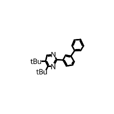 CC(C)(C)c1cnc(-c2cccc(-c3ccccc3)c2)nc1C(C)(C)C